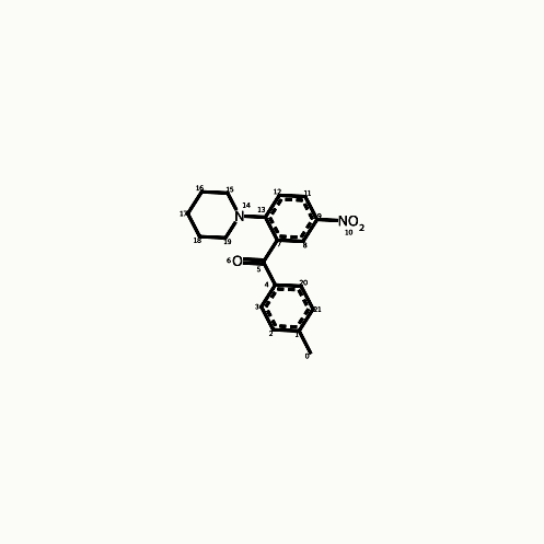 Cc1ccc(C(=O)c2cc([N+](=O)[O-])ccc2N2CCCCC2)cc1